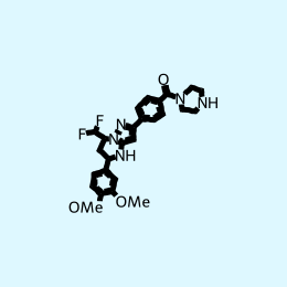 COc1ccc(C2CC(C(F)F)n3nc(-c4ccc(C(=O)N5CCNCC5)cc4)cc3N2)cc1OC